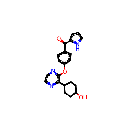 O=C(c1ccc(Oc2nccnc2C2CCC(O)CC2)cc1)c1ccc[nH]1